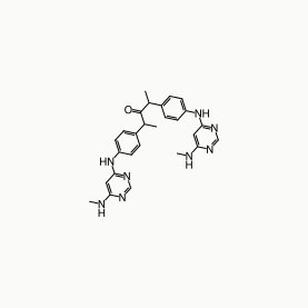 CNc1cc(Nc2ccc(C(C)C(=O)C(C)c3ccc(Nc4cc(NC)ncn4)cc3)cc2)ncn1